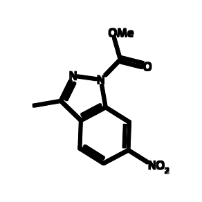 COC(=O)n1nc(C)c2ccc([N+](=O)[O-])cc21